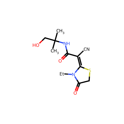 CCN1C(=O)CSC1=C(C#N)C(=O)NC(C)(C)CO